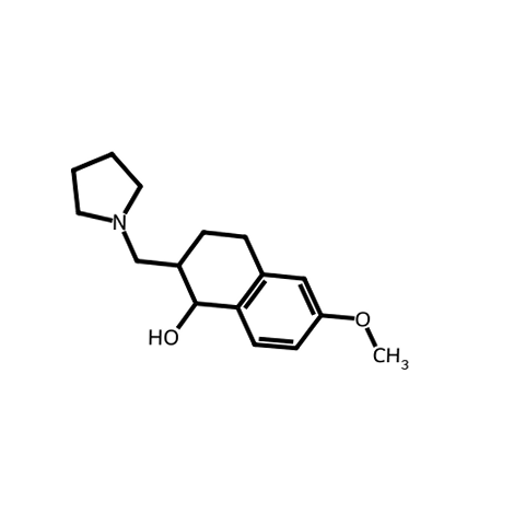 COc1ccc2c(c1)CCC(CN1CCCC1)C2O